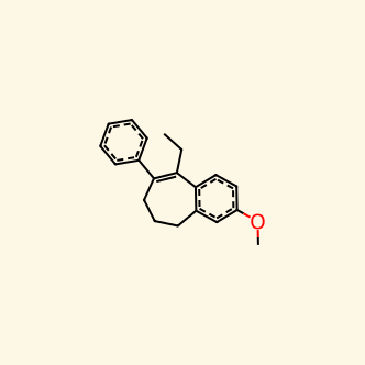 CCC1=C(c2ccccc2)CCCc2cc(OC)ccc21